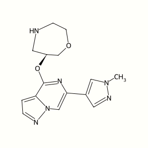 Cn1cc(-c2cn3nccc3c(O[C@H]3CNCCOC3)n2)cn1